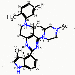 CC(=O)N1CCN(c2nc(-c3cccc4[nH]cc(C)c34)nc3c2CN(c2cc(C(C)C)ccc2C)CC3)C(C)C1